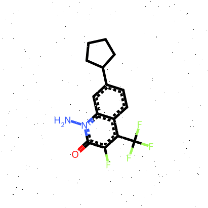 Nn1c(=O)c(F)c(C(F)(F)F)c2ccc(C3CCCC3)cc21